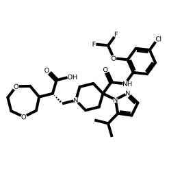 CC(C)c1ccnn1C1(C(=O)Nc2ccc(Cl)cc2OC(F)F)CCN(C[C@@H](C(=O)O)C2COCCOC2)CC1